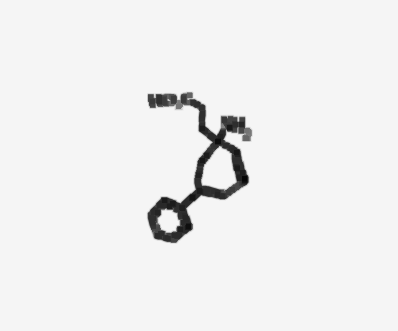 NC1(CCC(=O)O)C=CC=C(c2ccccc2)C1